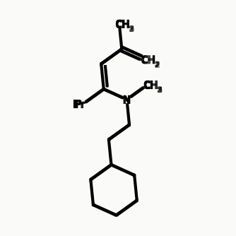 C=C(C)/C=C(/C(C)C)N(C)CCC1CCCCC1